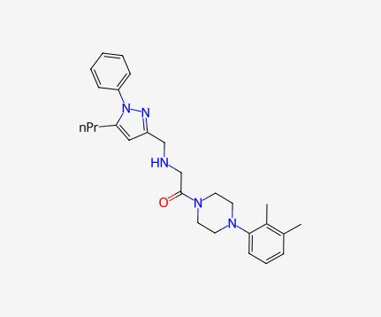 CCCc1cc(CNCC(=O)N2CCN(c3cccc(C)c3C)CC2)nn1-c1ccccc1